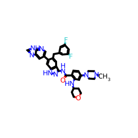 CN1CCN(c2ccc(C(=O)Nc3n[nH]c4cc(-c5cnc6[nH]cnc6c5)c(Cc5cc(F)cc(F)c5)cc34)c(NC3CCOCC3)c2)CC1